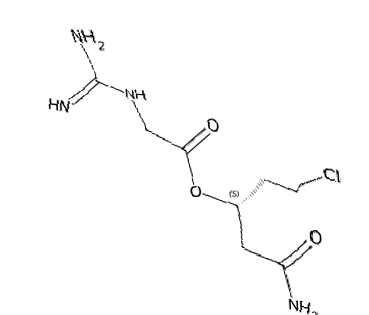 N=C(N)NCC(=O)O[C@H](CCCl)CC(N)=O